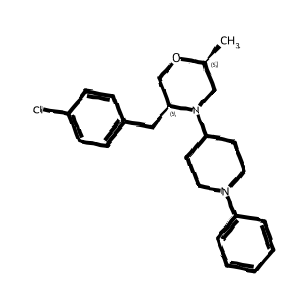 C[C@H]1CN(C2CCN(c3ccccc3)CC2)[C@@H](Cc2ccc(Cl)cc2)CO1